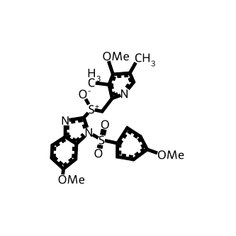 COc1ccc(S(=O)(=O)n2c([S+]([O-])Cc3ncc(C)c(OC)c3C)nc3ccc(OC)cc32)cc1